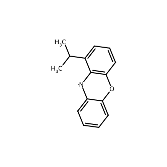 CC(C)c1cccc2c1[N]c1ccccc1O2